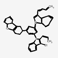 C=C/C=C\C1=CN(c2cc(C3CCC4=C(C3)C3C=CC=CC3O4)cc(-n3c(/C=C\C)c(CC)c4ccccc43)c2)C2CCC=CC12